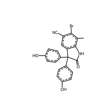 Cc1c(Br)c(C#N)cc2c1NC(=O)C2(c1ccc(O)cc1)c1ccc(O)cc1